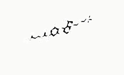 C[Si](C)(C)CCOCn1cc(Br)c2c(Oc3c(F)cc(NC(=O)NCCC(N)=O)cc3F)ccnc21